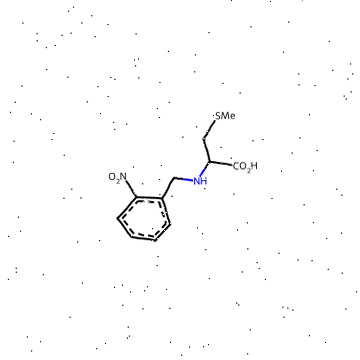 CSCC(NCc1ccccc1[N+](=O)[O-])C(=O)O